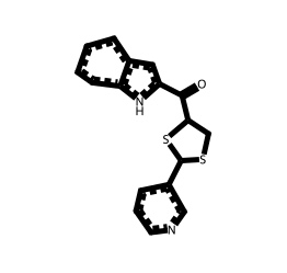 O=C(c1cc2ccccc2[nH]1)C1CSC(c2cccnc2)S1